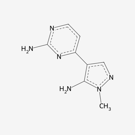 Cn1ncc(-c2ccnc(N)n2)c1N